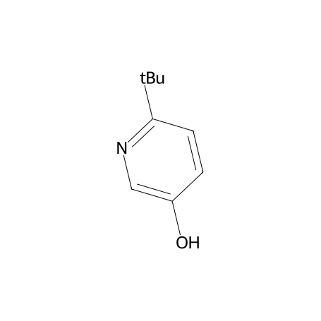 CC(C)(C)c1ccc(O)cn1